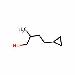 CC(CO)CCC1CC1